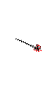 CCCCCCCCC=CCCCCCCCC(=O)C1=C(O)COC1=O